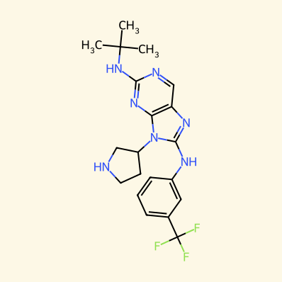 CC(C)(C)Nc1ncc2nc(Nc3cccc(C(F)(F)F)c3)n(C3CCNC3)c2n1